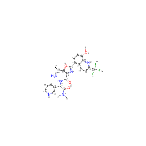 COc1ccc(-c2nc(C(=O)NC(C(=O)N(C)C)c3cccnc3)c([C@H](C)N)o2)c2ccc(C(F)(F)F)nc12